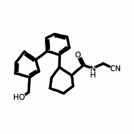 N#CCNC(=O)C1CCCCC1c1ccccc1-c1cccc(CO)c1